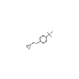 CC(C)(C)c1ccc(CC[C@H]2CO2)cc1